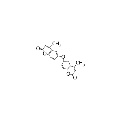 Cc1cc(=O)oc2ccc(Oc3ccc4oc(=O)cc(C)c4c3)cc12